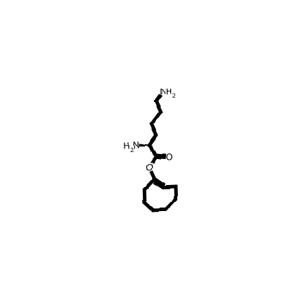 NCCCC[C@H](N)C(=O)O/C1=C\CCCCCC1